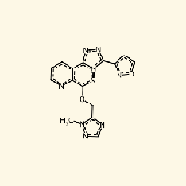 Cn1ncnc1COc1nn2c(-c3ccon3)nnc2c2cccnc12